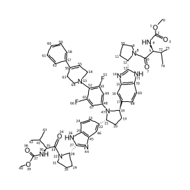 COC(=O)N[C@H](C(=O)N1CCC[C@H]1c1nc2cc([C@H]3CC[C@H](c4ccc5[nH]c([C@@H]6CCCN6C(=O)[C@@H](NC(=O)OC)C(C)C)nc5c4)N3c3cc(F)c(N4CC=C(c5ccccc5)CC4)c(F)c3)ccc2[nH]1)C(C)C